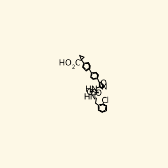 O=C(O)C1(c2ccc(-c3ccc(-c4oncc4NS(=O)(=O)NCCc4ccccc4Cl)cc3)cc2)CC1